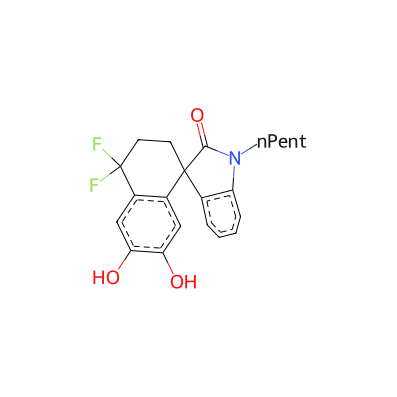 CCCCCN1C(=O)C2(CCC(F)(F)c3cc(O)c(O)cc32)c2ccccc21